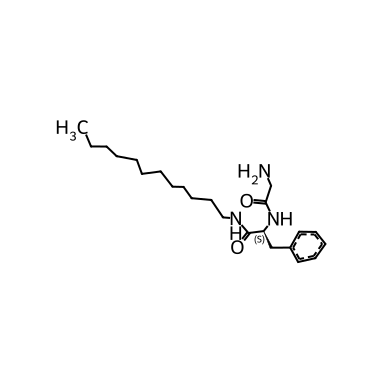 CCCCCCCCCCCCNC(=O)[C@H](Cc1ccccc1)NC(=O)CN